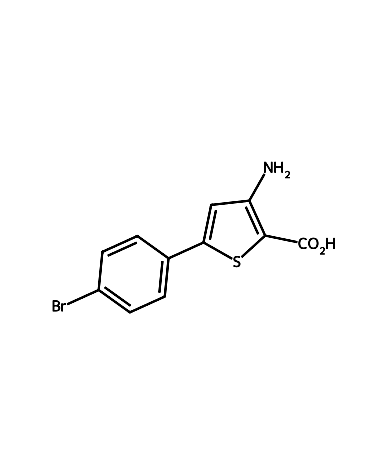 Nc1cc(-c2ccc(Br)cc2)sc1C(=O)O